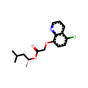 CC(C)C[C@@H](C)OC(=O)COc1ccc(Cl)c2cccnc12